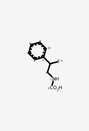 O=C(O)NCC(F)c1ccccc1